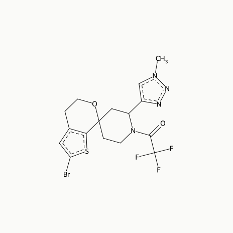 Cn1cc(C2CC3(CCN2C(=O)C(F)(F)F)OCCc2cc(Br)sc23)nn1